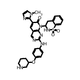 Cn1ccnc1-c1cc2cnc(Nc3ccc(OC4CCCNC4)cc3)nc2n(C2Cc3ccccc3S(=O)(=O)N2)c1=O